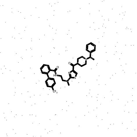 CC(CCNC(=O)c1ccccc1-c1ccc(C(F)(F)F)cc1)c1nc(C(=O)C2CCN(C(C)c3ccccc3)CC2)cs1